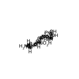 CC(C)c1cc(-c2nnc(O)n2-c2ccc(CN3CCN(C(=O)CCC(NC(=O)c4ccc(CCc5c[nH]c6nc(N)[nH]c(=O)c56)cc4)C(=O)O)CC3)cc2)c(O)cc1O